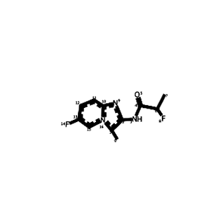 Cc1c(NC(=O)C(C)F)nc2ccc(F)cn12